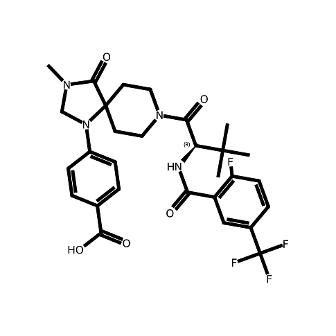 CN1CN(c2ccc(C(=O)O)cc2)C2(CCN(C(=O)[C@H](NC(=O)c3cc(C(F)(F)F)ccc3F)C(C)(C)C)CC2)C1=O